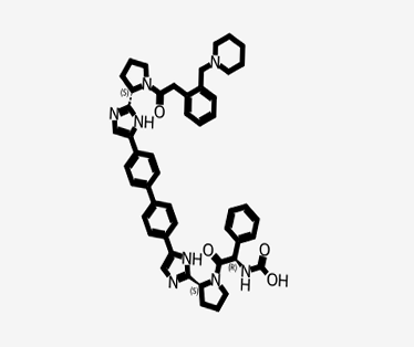 O=C(O)N[C@@H](C(=O)N1CCC[C@H]1c1ncc(-c2ccc(-c3ccc(-c4cnc([C@@H]5CCCN5C(=O)Cc5ccccc5CN5CCCCC5)[nH]4)cc3)cc2)[nH]1)c1ccccc1